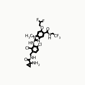 Cn1c(Nc2c(Cl)ccc(CNC(=O)C3(N)CC3)c2Cl)nc2cc(C(=O)NCC(F)(F)F)c(OCC(F)F)cc21